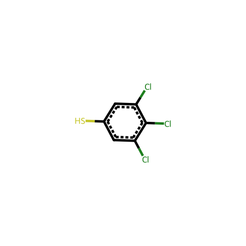 Sc1cc(Cl)c(Cl)c(Cl)c1